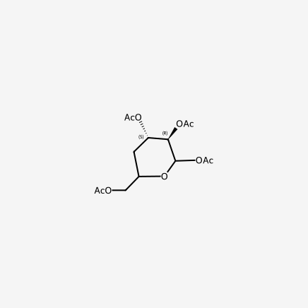 CC(=O)OCC1C[C@H](OC(C)=O)[C@@H](OC(C)=O)C(OC(C)=O)O1